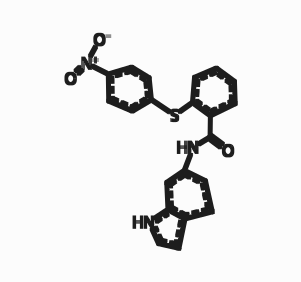 O=C(Nc1ccc2cc[nH]c2c1)c1ccccc1Sc1ccc([N+](=O)[O-])cc1